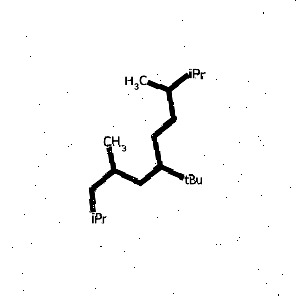 CC(C)CC(C)CC(CCC(C)C(C)C)C(C)(C)C